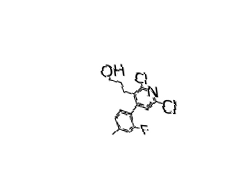 Cc1ccc(-c2cc(Cl)nc(Cl)c2CCCO)c(F)c1